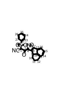 N#CC(C(=O)c1noc2c1C1CCCc3cccc-2c31)S(=O)(=O)c1ccccc1